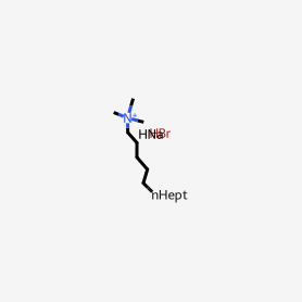 Br.CCCCCCCCCCCC[N+](C)(C)C.[NaH]